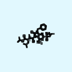 CCCS(=N)(=O)c1nc(N)c2c(n1)n(Cc1ccccc1)c(=O)n2C(=O)N(C)[C@@H](CC(C)C)C(=O)OC(C)C